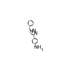 Nc1ccc(-c2cn(Cc3ccccc3)nn2)cc1